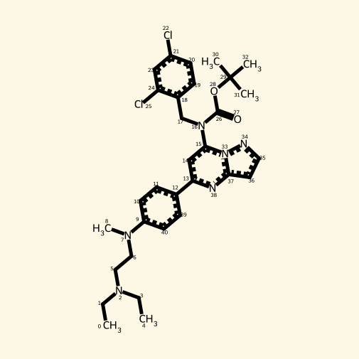 CCN(CC)CCN(C)c1ccc(-c2cc(N(Cc3ccc(Cl)cc3Cl)C(=O)OC(C)(C)C)n3nccc3n2)cc1